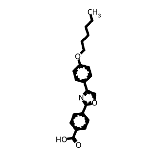 CCCCCCOc1ccc(-c2coc(-c3ccc(C(=O)O)cc3)n2)cc1